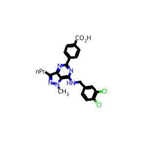 CCCc1nn(C)c2c(NCc3ccc(Cl)c(Cl)c3)nc(-c3ccc(C(=O)O)cc3)nc12